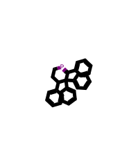 c1ccc(C2=PCCC(c3ccccc3)C2(c2ccccc2)c2ccccc2)cc1